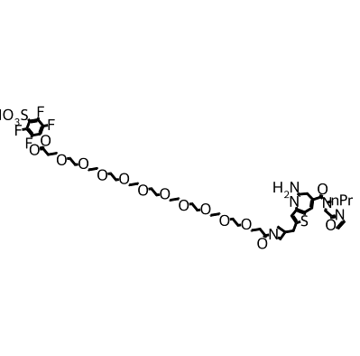 CCCN(Cc1ncco1)C(=O)C1=Cc2sc(CC3CN(C(=O)CCOCCOCCOCCOCCOCCOCCOCCOCCOCCOCCC(=O)Oc4c(F)c(F)c(S(=O)(=O)O)c(F)c4F)C3)cc2N=C(N)C1